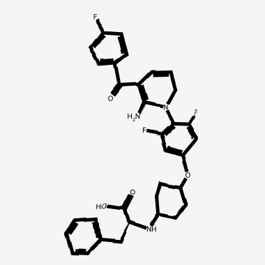 NC1=C(C(=O)c2ccc(F)cc2)C=CCN1c1c(F)cc(OC2CCC(N[C@@H](Cc3ccccc3)C(=O)O)CC2)cc1F